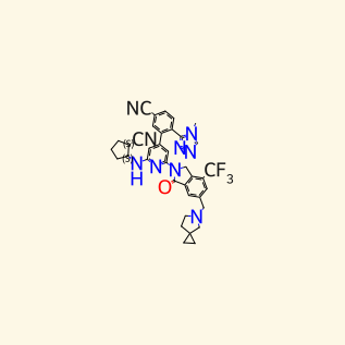 Cn1cnnc1-c1ccc(C#N)cc1-c1cc(N[C@H]2CCC[C@@H]2C#N)nc(N2Cc3c(cc(CN4CCC5(CC5)C4)cc3C(F)(F)F)C2=O)c1